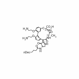 CCCCCCCCCCCCCC(=O)N[C@H]1CNN([C@@H]2C(=O)N[C@@H](C)C(=O)N[C@H](C(=O)O)Cc3ccc(OCCN)c(c3)-c3cc2ccc3OCCN)C1=O